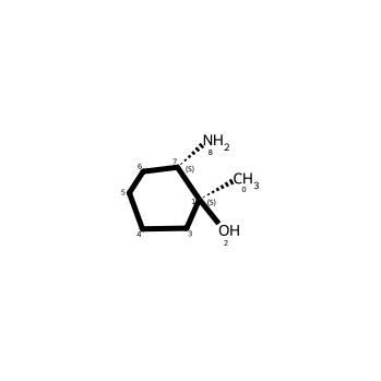 C[C@]1(O)CCCC[C@@H]1N